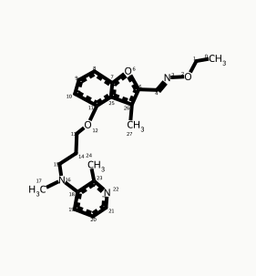 CCON=Cc1oc2cccc(OCCCN(C)c3cccnc3C)c2c1C